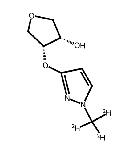 [2H]C([2H])([2H])n1ccc(O[C@@H]2COC[C@@H]2O)n1